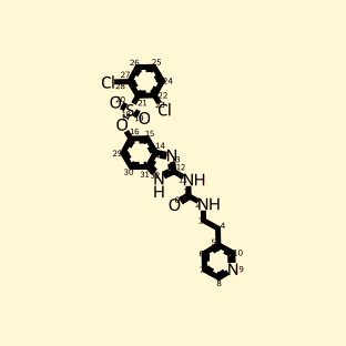 O=C(NCCc1cccnc1)Nc1nc2cc(OS(=O)(=O)c3c(Cl)cccc3Cl)ccc2[nH]1